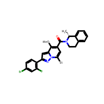 CCc1cc(C(=O)N2CCc3ccccc3[C@H]2C)c(OC)c2cc(-c3ccc(Br)cc3F)nn12